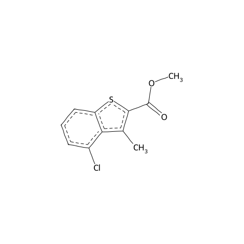 COC(=O)c1sc2cccc(Cl)c2c1C